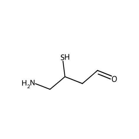 NCC(S)CC=O